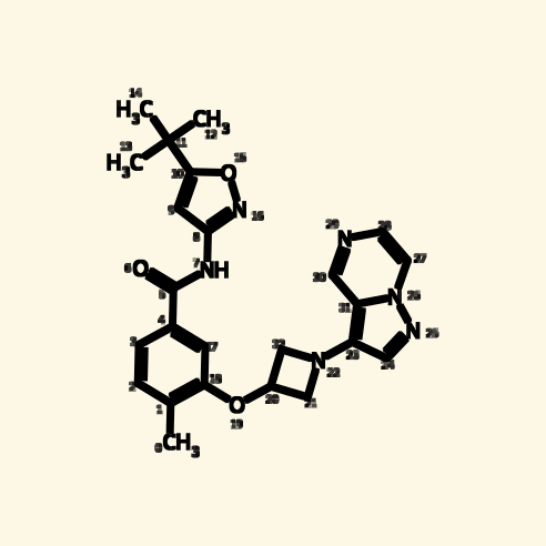 Cc1ccc(C(=O)Nc2cc(C(C)(C)C)on2)cc1OC1CN(c2cnn3ccncc23)C1